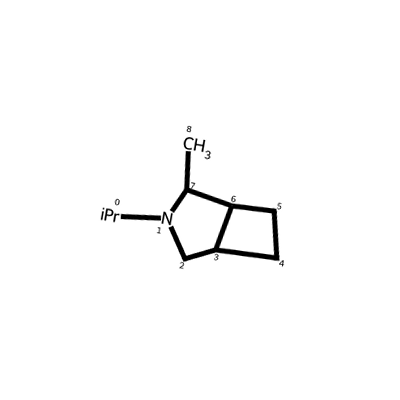 CC(C)N1CC2CCC2C1C